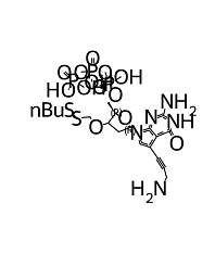 CCCCSSCOC1C[C@H](n2cc(C#CCN)c3c(=O)[nH]c(N)nc32)O[C@@H]1COP(=O)(O)OP(=O)(O)OP(=O)(O)O